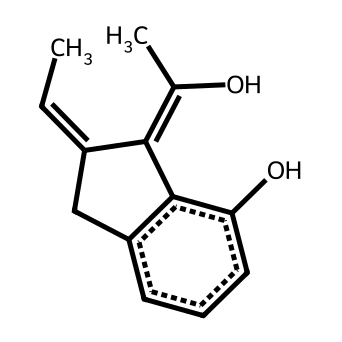 C/C=C1/Cc2cccc(O)c2/C1=C(/C)O